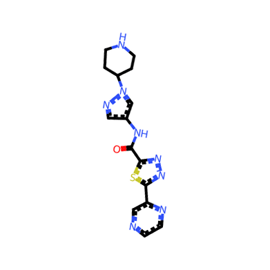 O=C(Nc1cnn(C2CCNCC2)c1)c1nnc(-c2cnccn2)s1